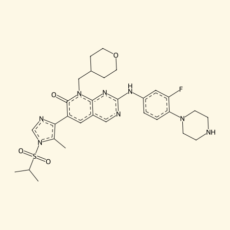 Cc1c(-c2cc3cnc(Nc4ccc(N5CCNCC5)c(F)c4)nc3n(CC3CCOCC3)c2=O)ncn1S(=O)(=O)C(C)C